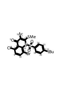 CSc1c(C(C)=O)c(=O)c2c(Cl)ccc(Br)c2n1S(=O)(=O)c1ccc(C(C)(C)C)cc1